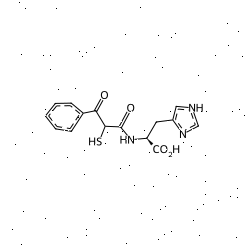 O=C(N[C@@H](Cc1c[nH]cn1)C(=O)O)C(S)C(=O)c1ccccc1